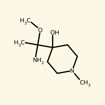 COC(C)(N)C1(O)CCN(C)CC1